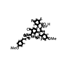 COc1ccc(CCS(=O)(=O)Nc2nn(C)c3c(-n4c([C@H](Cc5cc(F)cc(F)c5)NC(=O)O)nc5cc(OC)cnc5c4=O)ccc(Cl)c23)cc1